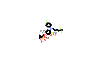 CCOP(=O)(OCC)C1(COc2cc3c(cc2C(F)(F)F)N(c2ccc(F)cc2)CC(CCC(C)(F)F)N(C)S3(=O)=O)CC1